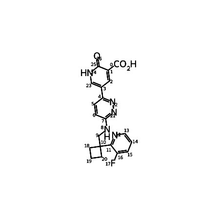 O=C(O)c1cc(-c2ccc(NCC3(c4ncccc4F)CCC3)nn2)c[nH]c1=O